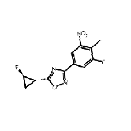 Cc1c(F)cc(-c2noc([C@@H]3C[C@H]3F)n2)cc1[N+](=O)[O-]